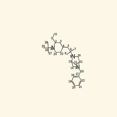 CCC1CC(CC(C)(C)N2CC3CC2CN3Cc2ccccc2)CCN1C(C)(C)C